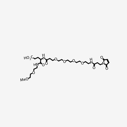 COCCOCCNC(=O)C(CCC(=O)O)NC(=O)CCOCCOCCOCCOCCNC(=O)CCN1C(=O)C=CC1=O